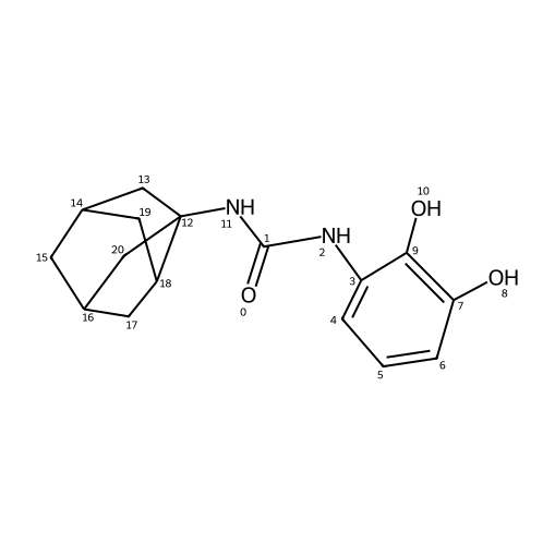 O=C(Nc1cccc(O)c1O)NC12CC3CC(CC1C3)C2